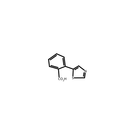 O=C(O)c1ccccc1-c1cncs1